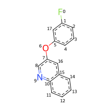 Fc1cccc(Oc2cnc3ccccc3c2)c1